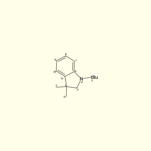 CC1(C)CN(C(C)(C)C)c2ccccc21